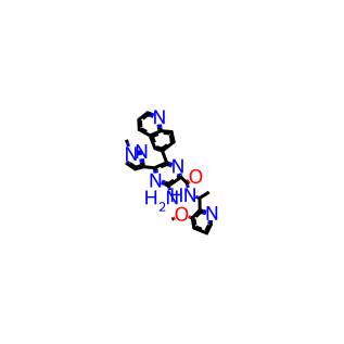 COc1cccnc1C(C)NC(=O)c1nc(-c2ccc3ncccc3c2)c(-c2ccn(C)n2)nc1N